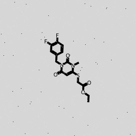 CCOC(=O)CSc1cc(=O)n(Cc2ccc(F)c(F)c2)c(=O)n1C